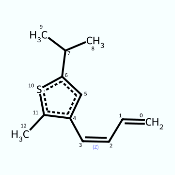 C=C/C=C\c1cc(C(C)C)sc1C